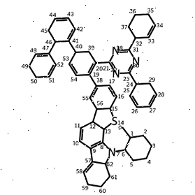 CC1CCCCC1N1C2=C(C=CC3C2SC2C=CC(C4=C(c5nc(C6C=CC=CC6)nc(C6C=CCCC6)n5)CC(C5=CC=CCC5C5=CCCC=C5)C=C4)=CC23)C2=CCCCC21